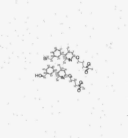 Cc1cc(OCCCS(C)(=O)=O)nc(C)c1-c1cccc(CBr)c1.Cc1cc(OCCCS(C)(=O)=O)nc(C)c1-c1cccc(CO)c1